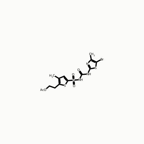 CC(=O)OCCc1sc(S(=O)(=O)NC(=O)Nc2nc(C)c(Br)s2)cc1C